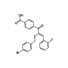 O=C(O)c1ccc(C(=O)C(=Cc2ccccc2F)SCc2ccc(Br)cc2)cc1